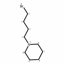 BrCCCCN1CCCCC1